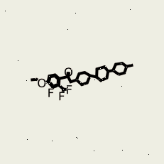 CCOc1ccc(C(=O)CC2CCC(C3CCC(C4CCC(C)CC4)CC3)CC2)c(C(F)F)c1F